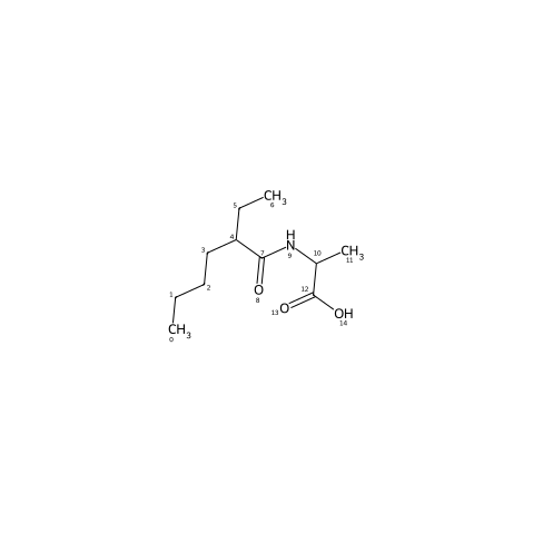 CCCCC(CC)C(=O)NC(C)C(=O)O